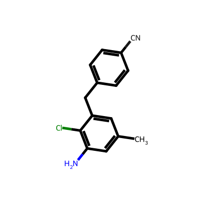 Cc1cc(N)c(Cl)c(Cc2ccc(C#N)cc2)c1